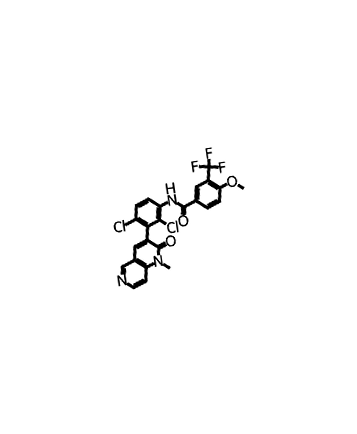 COc1ccc(C(=O)Nc2ccc(Cl)c(-c3cc4cnccc4n(C)c3=O)c2Cl)cc1C(F)(F)F